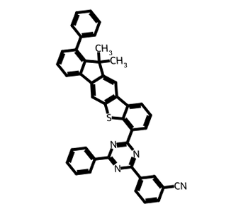 CC1(C)c2cc3c(cc2-c2cccc(-c4ccccc4)c21)sc1c(-c2nc(-c4ccccc4)nc(-c4cccc(C#N)c4)n2)cccc13